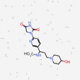 O=C(O)NC(CCN1CCC(O)CC1)c1ccc(N2CC(=O)NC2=O)nc1